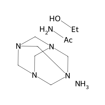 C1N2CN3CN1CN(C2)C3.CC(N)=O.CCO.N